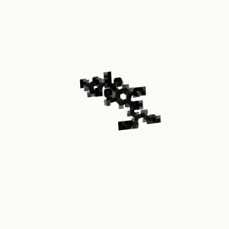 CNC(CNc1cc(F)c(S(=O)(=O)Nc2ncc(F)s2)cc1C#N)CC(C)(C)C